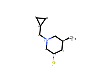 C[C@H]1C[C@H](S)CN(CC2CC2)C1